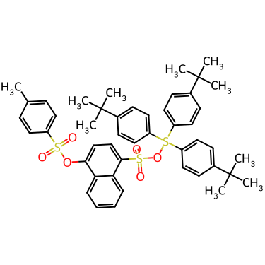 Cc1ccc(S(=O)(=O)Oc2ccc(S(=O)(=O)OS(c3ccc(C(C)(C)C)cc3)(c3ccc(C(C)(C)C)cc3)c3ccc(C(C)(C)C)cc3)c3ccccc23)cc1